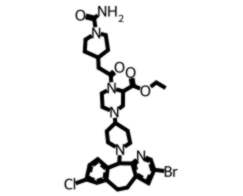 CCOC(=O)C1CN(C2CCN(C3c4ccc(Cl)cc4CCc4cc(Br)cnc43)CC2)CCN1C(=O)CC1CCN(C(N)=O)CC1